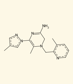 CC1=C(n2cc(C)cn2)N=C(N)CN1Cc1ncccc1C